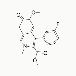 COC(=O)C1=C(c2cccc(F)c2)C2=CC(OC)C(=O)CC2=CN1C